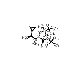 C=C(C1CC1)[C@H](C)N(O[Si](C)(C)C(C)(C)C)C(=O)OC(C)(C)C